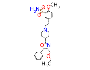 CCOCc1nc(C2CCN(CCc3ccc(OC)c(S(N)(=O)=O)c3)CC2)oc1-c1ccccc1